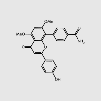 COc1cc(OC)c2c(=O)cc(-c3ccc(O)cc3)oc2c1-c1ccc(C(N)=O)cc1